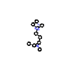 c1ccc(-c2ccc3c(c2)c2cc(-c4cccc(-c5cccc(-c6nc(-c7ccccc7)c7c(n6)c6ccccc6n7-c6ccccc6)c5)c4)ccc2n3-c2ccccc2)cc1